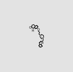 O=C1CCc2ccc(OCCCN3CCCN(Cc4ccc5ccccc5n4)CC3)cc2N1